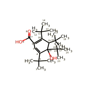 CC(C)(C)C1=CC(C(=O)O)=C(C(C)(C)C)C(C(C)(C)C)C1(O)C(C)(C)C